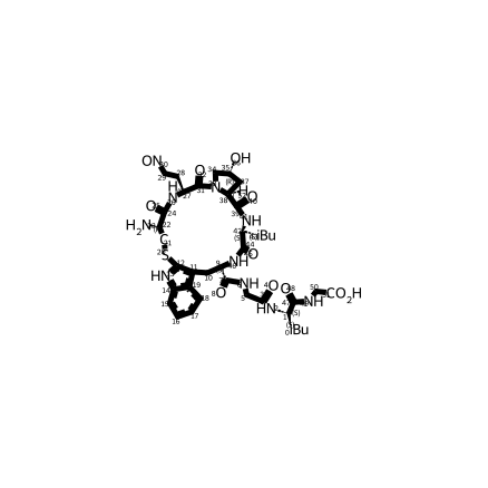 CC[C@H](C)[C@H](NC(=O)CNC(=O)[C@@H]1Cc2c([nH]c3ccccc23)SC[C@H](N)C(=O)N[C@@H](CCN=O)C(=O)N2C[C@H](O)C[C@H]2C(=O)N[C@@H]([C@@H](C)CC)C(=O)N1)C(=O)NCC(=O)O